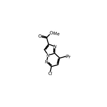 COC(=O)c1cn2nc(Cl)cc(C(C)C)c2n1